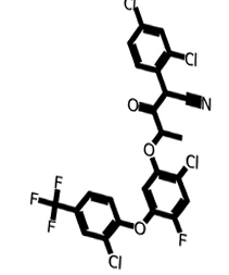 CC(Oc1cc(Oc2ccc(C(F)(F)F)cc2Cl)c(F)cc1Cl)C(=O)C(C#N)c1ccc(Cl)cc1Cl